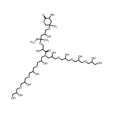 CCC(C)(CC(O)COC1(C)COC(=O)C(O)C1)OCC(O)C(=O)N(CC(O)COCC(O)COCC(O)COCC(O)CO)CC(O)COCC(O)COCC(O)COCC(O)CO